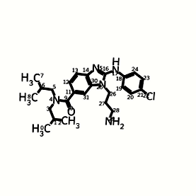 CC(C)CN(CC(C)C)C(=O)c1ccc2nc(Nc3ccc(Cl)cc3)n(CCCN)c2c1